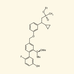 CCOP(C)(=O)CC(c1cccc(OCc2ccc(-c3cc(O)ccc3F)c([C@@H](OC)C(C)(C)C)c2)c1)C1CC1